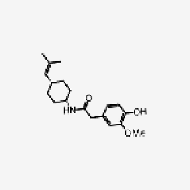 COc1cc(CC(=O)N[C@H]2CC[C@H](C=C(C)C)CC2)ccc1O